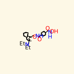 CCN(CC)Cc1cc(CONC(=O)c2ccc(C(=O)NO)cc2)c2ccccc2c1